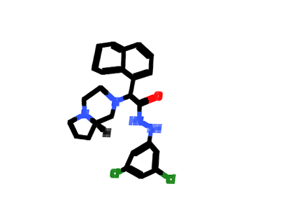 O=C(NNc1cc(Cl)cc(Cl)c1)C(c1cccc2ccccc12)N1CCN2CCC[C@H]2C1